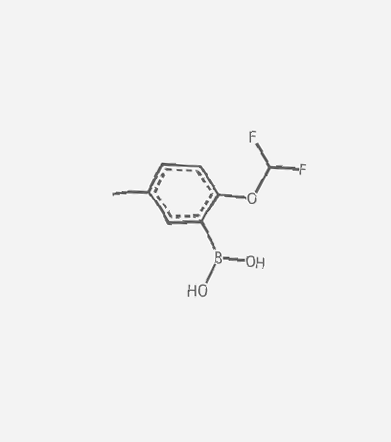 Cc1ccc(OC(F)F)c(B(O)O)c1